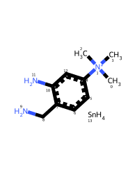 C[N+](C)(C)c1ccc(CN)c(N)c1.[SnH4]